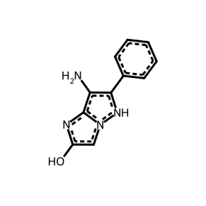 Nc1c(-c2ccccc2)[nH]n2cc(O)nc12